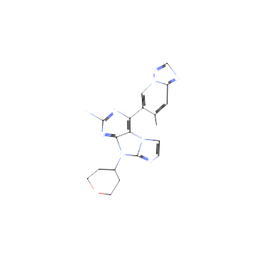 Cc1cc2ncnn2cc1-c1nc(N)nc2c1n1ccnc1n2C1CCOCC1